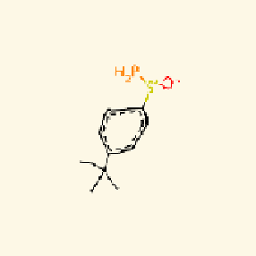 CC(C)(C)c1ccc([S+]([O-])P)cc1